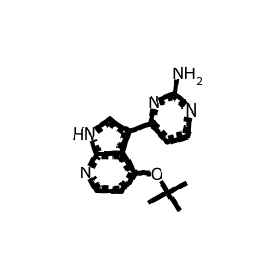 CC(C)(C)Oc1ccnc2[nH]cc(-c3ccnc(N)n3)c12